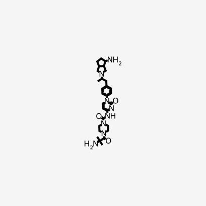 CC(Cc1ccc(-n2ccc(NC(=O)N3CCN(C(=O)C(C)(C)N)CC3)nc2=O)cc1)N1CC2CCC(N)C2C1